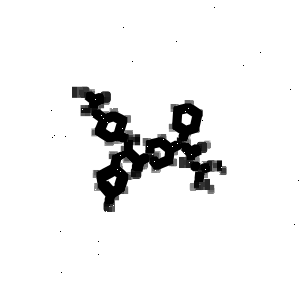 CN(C)NC(=O)N(C1CCCCC1)C1CCN(C(=O)[C@@H](Cc2ccc(Cl)cc2)NC2CCC(NC(=O)O)CC2)CC1